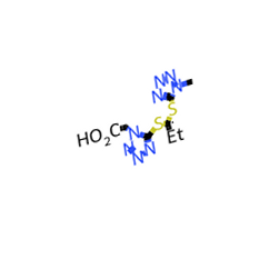 CC[C](Sc1nnnn1C)Sc1nnnn1CC(=O)O